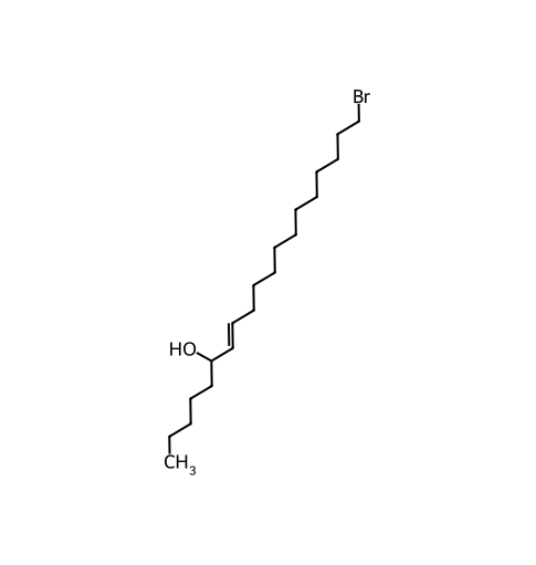 CCCCCC(O)C=CCCCCCCCCCCCBr